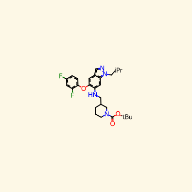 CC(C)Cn1ncc2cc(Oc3ccc(F)cc3F)c(NCC3CCCN(C(=O)OC(C)(C)C)C3)cc21